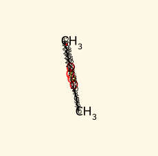 CCCCCCCCCCCCOCCOSOCCOCCCCCCCCCCCC